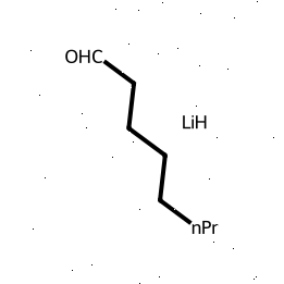 CCCCCCCC=O.[LiH]